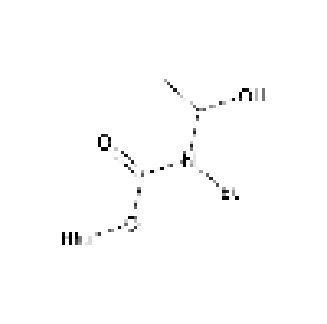 [CH2]C(O)N(CC)C(=O)OC(C)(C)C